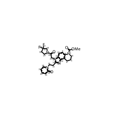 COC(=O)N1CCCc2c1ccc1c2nc(CCn2ccccc2=O)n1CC(=O)N1CCC(F)(F)C1